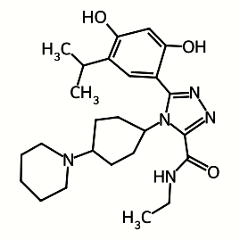 CCNC(=O)c1nnc(-c2cc(C(C)C)c(O)cc2O)n1C1CCC(N2CCCCC2)CC1